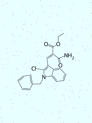 CCOC(=O)C(=Cc1c(Cl)n(Cc2ccccc2)c2ccccc12)C(N)=O